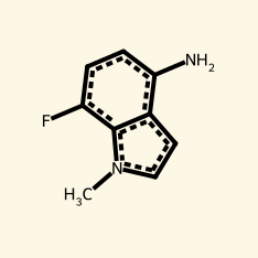 Cn1ccc2c(N)ccc(F)c21